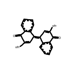 CCCC1=C/C(=C2/C=C(CCC)C(=O)c3ccccc32)c2ccccc2C1=O